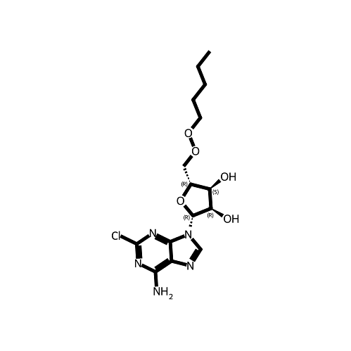 CCCCCOOC[C@H]1O[C@@H](n2cnc3c(N)nc(Cl)nc32)[C@H](O)[C@@H]1O